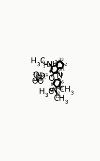 CCNc1cc2oc3cc(=[N+](C)CC)c(C)cc-3nc2c2ccccc12.[O-][Cl+3]([O-])([O-])[O-]